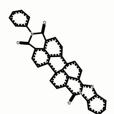 O=C1c2ccc3c4ccc5c(=O)n6c7ccccc7nc6c6ccc(c7ccc(c2c37)C(=O)N1c1ccccc1)c4c56